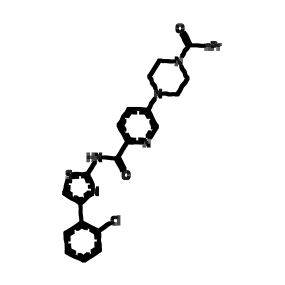 CCCC(=O)N1CCN(c2ccc(C(=O)Nc3nc(-c4ccccc4Cl)cs3)nc2)CC1